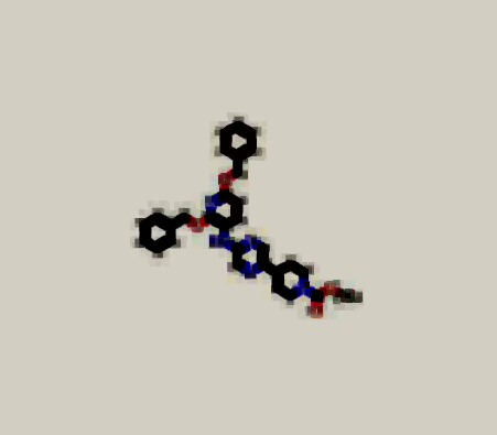 CC(C)(C)OC(=O)N1CC=C(c2cnc(Nc3ccc(OCc4ccccc4)nc3OCc3ccccc3)cn2)CC1